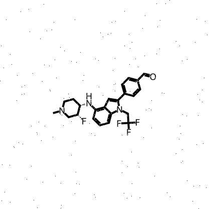 CN1CC[C@H](Nc2cccc3c2cc(-c2ccc(C=O)cc2)n3CC(F)(F)F)[C@H](F)C1